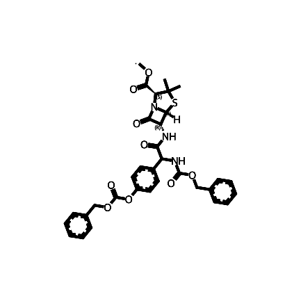 [CH2]OC(=O)[C@@H]1N2C(=O)[C@@H](NC(=O)C(NC(=O)OCc3ccccc3)c3ccc(OC(=O)OCc4ccccc4)cc3)[C@H]2SC1(C)C